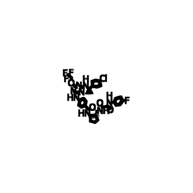 O=C(NC[C@H]1CCC[C@H]1NC(=O)c1ccc(Nc2nc(NC3(c4ccc(Cl)cc4)CC3)nc(OCC(F)(F)F)n2)cc1)C(=O)Nc1ccc(F)cc1